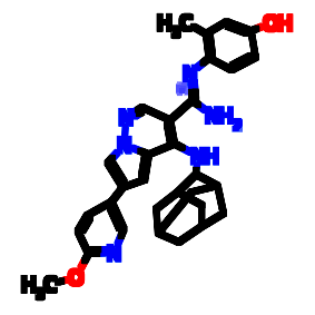 COc1ccc(-c2cc3c(NC4C5CC6CC(C5)CC4C6)c(/C(N)=N/c4ccc(O)cc4C)cnn3c2)cn1